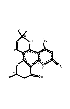 CCCCc1cc(=O)oc2c3c(c4c(c12)OC(C)(C)C=C4)OC(C)CC3=O